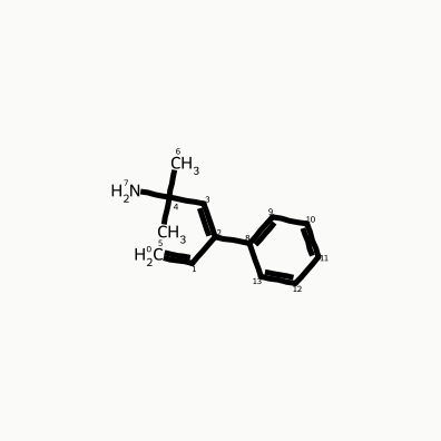 C=C/C(=C\C(C)(C)N)c1ccccc1